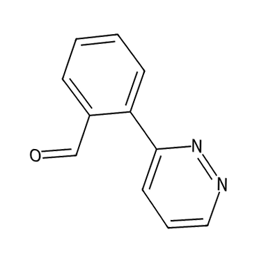 O=Cc1ccccc1-c1cccnn1